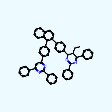 CCC1C(c2ccccc2)=NC(c2ccccc2)=NC1c1ccc(-c2ccc3ccccc3c2-c2ccc(-c3cc(-c4ccccc4)nc(-c4ccccc4)n3)cc2)cc1